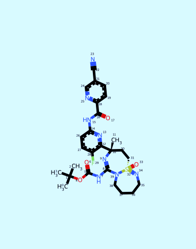 CC(C)(C)OC(=O)NC1=N[C@](C)(c2nc(NC(=O)c3ccc(C#N)cn3)ccc2F)CC[S@]2(=O)=NCCCCN12